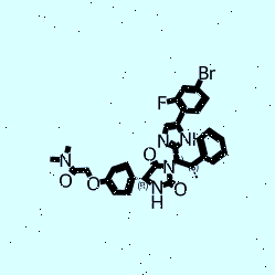 C[C@@H](c1ccccc1)[C@@H](c1ncc(-c2ccc(Br)cc2F)[nH]1)N1C(=O)N[C@H](c2ccc(OCC(=O)N(C)C)cc2)C1=O